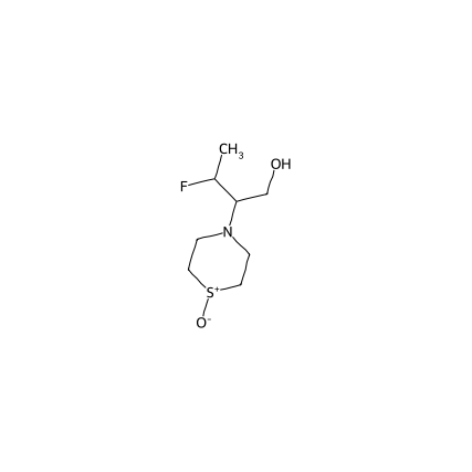 CC(F)C(CO)N1CC[S+]([O-])CC1